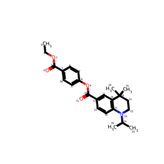 CCOC(=O)c1ccc(OC(=O)c2ccc3c(c2)C(C)(C)CCN3C(C)C)cc1